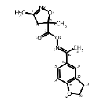 CC1=NOC(C)(C(=O)O/N=C(\C)c2ccc3c(c2)CCO3)C1